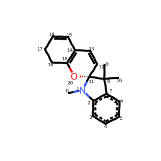 CN1c2ccccc2C(C)(C)[C@]12C=CC1=C(CCC=C1)O2